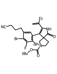 C=C(CC)C1=C(c2cc(CCCC#N)c(Br)c(F)c2CCC)C2(CCN(C(=O)OC(C)(C)C)C2)C(=O)N1